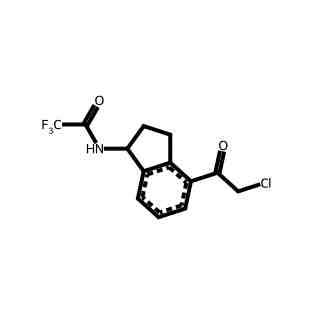 O=C(CCl)c1cccc2c1CCC2NC(=O)C(F)(F)F